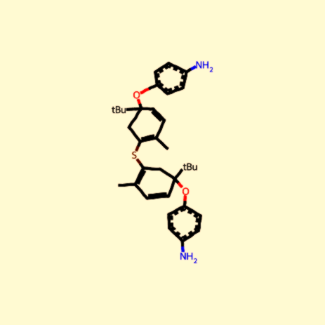 CC1=C(SC2=C(C)C=CC(Oc3ccc(N)cc3)(C(C)(C)C)C2)CC(Oc2ccc(N)cc2)(C(C)(C)C)C=C1